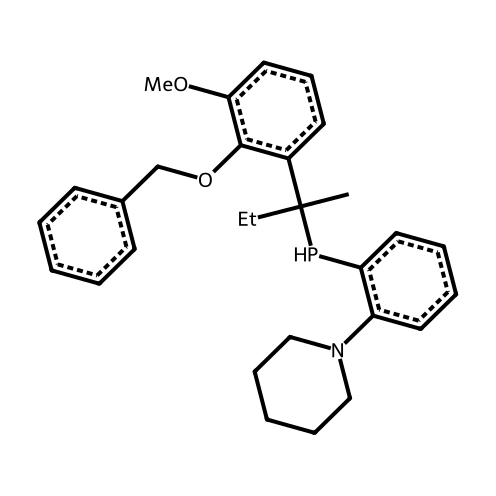 CCC(C)(Pc1ccccc1N1CCCCC1)c1cccc(OC)c1OCc1ccccc1